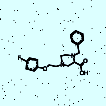 O=C(O)C1CN(CCOc2ccc(F)cc2)CCN1Cc1ccccc1